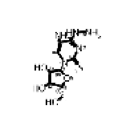 NNc1nc(=S)n([C@@H]2O[C@H](CO)C(O)C2O)cc1N